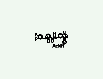 CC(=O)N[C@@H]1CCN(c2ncnc3ccc(CNC(=O)c4cccn(Cc5ccc(F)c(F)c5)c4=O)cc23)C1